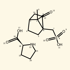 CC1(C)C2CCC1(CS(=O)(=O)O)C(=O)C2.O=C(O)[C@@H]1CCCN1